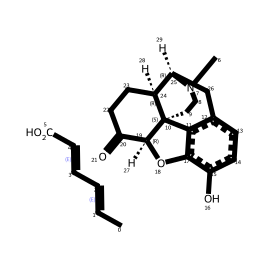 C/C=C/C=C/C(=O)O.CN1CC[C@]23c4c5ccc(O)c4O[C@H]2C(=O)CC[C@H]3[C@H]1C5